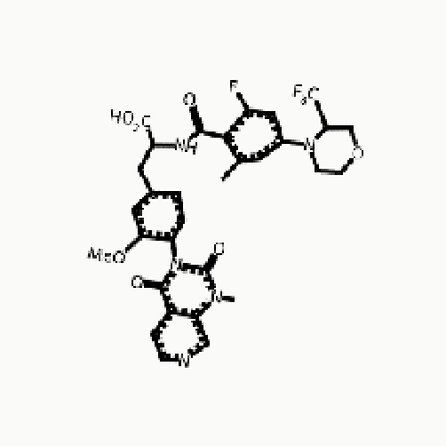 COc1cc(CC(NC(=O)c2c(C)cc(N3CCOCC3C(F)(F)F)cc2F)C(=O)O)ccc1-n1c(=O)c2ccncc2n(C)c1=O